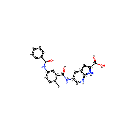 Cc1ccc(NC(=O)c2ccccc2)cc1C(=O)Nc1cnc2[nH]c(C(=O)O)cc2c1